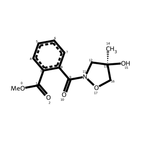 COC(=O)c1ccccc1C(=O)N1C[C@@](C)(O)CO1